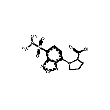 CN(C)S(=O)(=O)c1ccc(N2CCCC2C(=O)O)c2nonc12